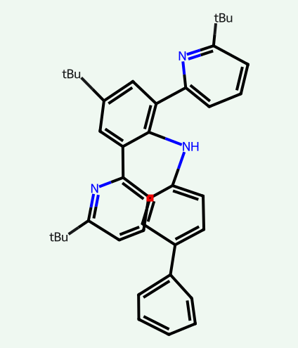 CC(C)(C)c1cc(-c2cccc(C(C)(C)C)n2)c(Nc2ccc(-c3ccccc3)cc2)c(-c2cccc(C(C)(C)C)n2)c1